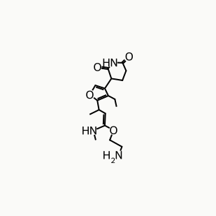 CCc1c(C2CCC(=O)NC2=O)coc1C(C)/C=C(\NC)OCCN